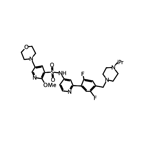 COc1ncc(N2CCOCC2)cc1S(=O)(=O)Nc1ccnc(-c2cc(F)c(CN3CCN(C(C)C)CC3)cc2F)c1